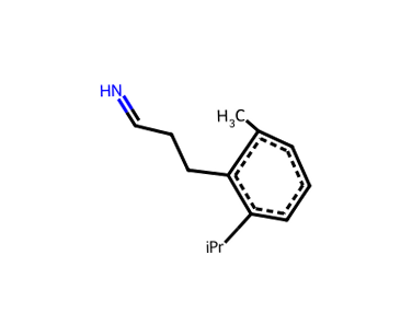 Cc1cccc(C(C)C)c1CCC=N